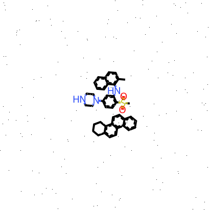 Cc1ccc2ccccc2c1Nc1cc(N2CCNCC2)ccc1S(C)(=O)=O.c1ccc2c(c1)ccc1c3c(ccc12)CCCC3